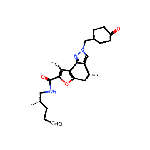 C[C@@H](CCC=O)CNC(=O)c1oc2c(c1C(F)(F)F)-c1nn(CC3CCC(=O)CC3)cc1[C@H](C)C2